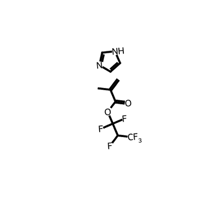 C=C(C)C(=O)OC(F)(F)C(F)C(F)(F)F.c1c[nH]cn1